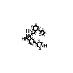 C1=C(c2cc3c(-c4cc5c(-c6cccs6)cccc5[nH]4)n[nH]c3cn2)CCNC1